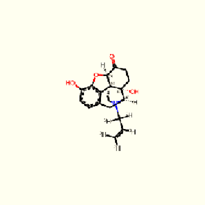 [2H]C([2H])=C([2H])C([2H])([2H])N1CC[C@]23c4c5ccc(O)c4O[C@H]2C(=O)CC[C@@]3(O)[C@H]1C5